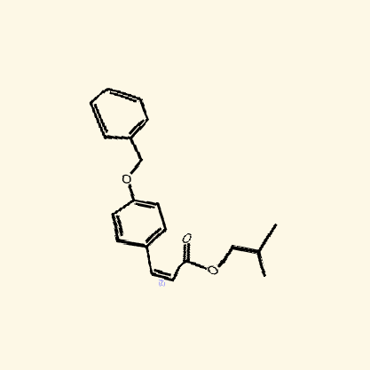 CC(C)COC(=O)/C=C\c1ccc(OCc2ccccc2)cc1